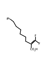 CC(C)CCCCCCC(C(=O)O)=C(F)F